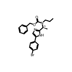 CCCN(C(=O)OCc1ccccc1)[C@@H](C)c1ncc(-c2ccc(Br)cc2)[nH]1